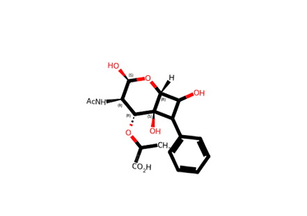 CC(=O)N[C@@H]1[C@@H](OC(C)C(=O)O)[C@@]2(O)C(c3ccccc3)C(O)[C@H]2O[C@@H]1O